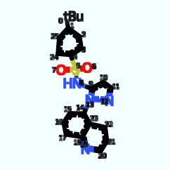 CC(C)(C)c1ccc(S(=O)(=O)Nc2ccnn2-c2cccc3ncccc23)cc1